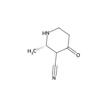 C[C@@H]1NCCC(=O)C1C#N